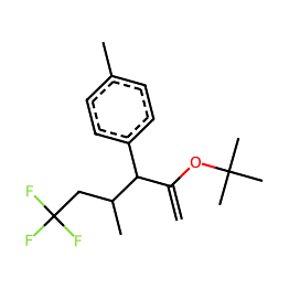 C=C(OC(C)(C)C)C(c1ccc(C)cc1)C(C)CC(F)(F)F